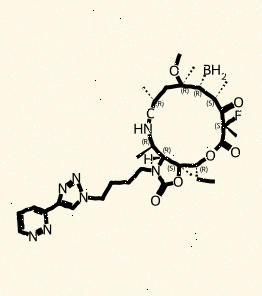 B[C@@H]1[C@H](C)C(=O)[C@](C)(F)C(=O)O[C@H](CC)[C@@]2(C)OC(=O)N(CCCCn3cc(-c4cccnn4)nn3)[C@@H]2[C@@H](C)NC[C@H](C)C[C@@]1(C)OC